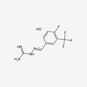 Cl.N=C(N)N/N=C/c1ccc(F)c(C(F)(F)F)c1